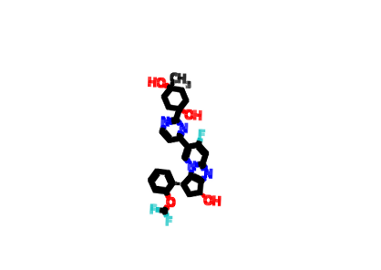 C[C@]1(O)CC[C@@](O)(c2nccc(-c3cn4c5c(nc4cc3F)[C@H](O)C[C@@H]5c3ccccc3OC(F)F)n2)CC1